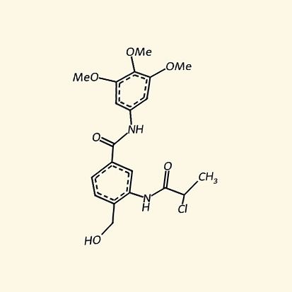 COc1cc(NC(=O)c2ccc(CO)c(NC(=O)C(C)Cl)c2)cc(OC)c1OC